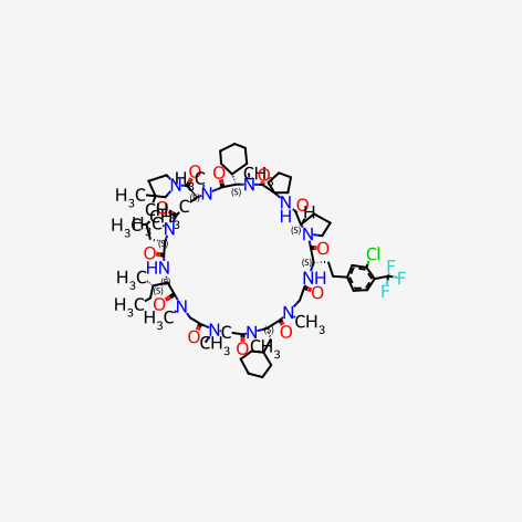 CC[C@H](C)[C@@H]1NC(=O)[C@H](CC(C)C)N(C)C(=O)C[C@@H](C(=O)N2CCC(C)(C)C2)N(C)C(=O)[C@H](C2CCCCC2)N(C)C(=O)C2(CCCC2)NC(=O)[C@@H]2CCCN2C(=O)[C@H](CCc2ccc(C(F)(F)F)c(Cl)c2)NC(=O)CN(C)C(=O)[C@H](CC2CCCCC2)N(C)C(=O)CN(C)C(=O)CN(C)C1=O